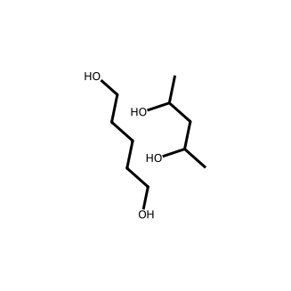 CC(O)CC(C)O.OCCCCCO